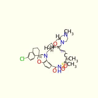 C[C@@H]1[C@@H](C)C/C=C/[C@]2(CN3CCN(C)C[C@H]3CO2)[C@@H]2CC[C@H]2CN2C[C@@]3(CCCc4cc(Cl)ccc43)COc3ccc(cc32)C(=O)NS1(=O)=O